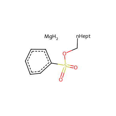 CCCCCCCCOS(=O)(=O)c1ccccc1.[MgH2]